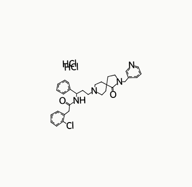 Cl.Cl.O=C(Cc1ccccc1Cl)NC(CCN1CCC2(CC1)CCN(Cc1cccnc1)C2=O)c1ccccc1